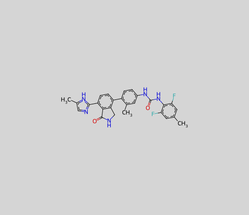 Cc1cc(F)c(NC(=O)Nc2ccc(-c3ccc(-c4ncc(C)[nH]4)c4c3CNC4=O)c(C)c2)c(F)c1